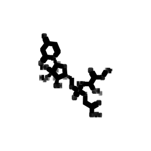 COC(=O)CSP(=O)(NC(C)C(=O)OC(C)C)OC[C@H]1O[C@@H](N2C=CC(=O)CC2=O)[C@](C)(O)[C@@H]1O